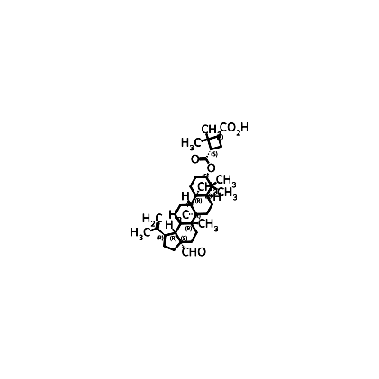 C=C(C)[C@@H]1CC[C@]2(C=O)CC[C@]3(C)C(CC[C@@H]4[C@@]5(C)CC[C@H](OC(=O)[C@H]6C[C@@H](C(=O)O)C6(C)C)C(C)(C)[C@@H]5CC[C@]43C)[C@@H]12